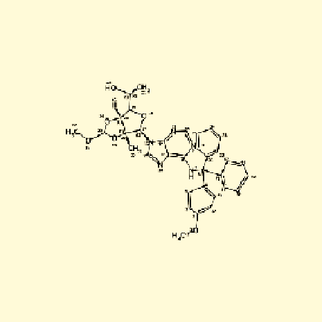 COc1ccc(C(Nc2ncnc3c2ncn3[C@@H]2OC([C@H](C)O)[C@H]3OC(OC)O[C@]32C)(c2ccccc2)c2ccccc2)cc1